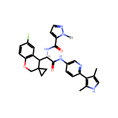 CCn1nccc1C(=O)N[C@H](C(=O)Nc1ccc(-c2c(C)c[nH]c2C)nc1)C1c2cc(F)ccc2OCC12CC2